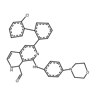 O=CC1NC=Cc2cc(-c3ccccc3-c3ccccc3Cl)nc(Nc3ccc(N4CCOCC4)cc3)c21